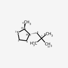 C[C@@H]1SCC[C@H]1CC(C)(C)C